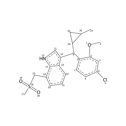 COc1cc(Cl)ccc1C(c1c[nH]c2c(CS(C)(=O)=O)cccc12)C1CC1C